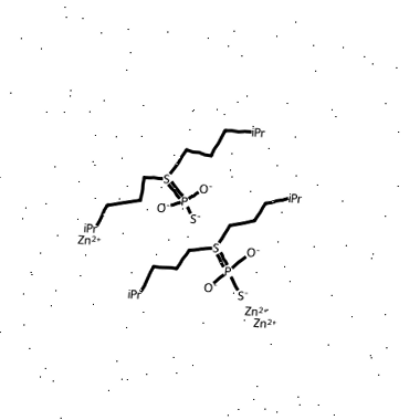 CC(C)CCCS(CCCC(C)C)=P([O-])([O-])[S-].CC(C)CCCS(CCCC(C)C)=P([O-])([O-])[S-].[Zn+2].[Zn+2].[Zn+2]